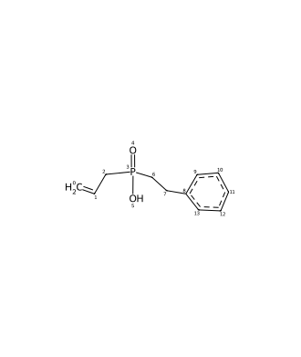 C=CCP(=O)(O)CCc1ccccc1